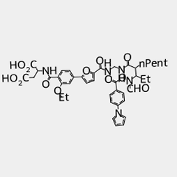 CCCCCC(C(=O)NCNC(=O)c1ccc(-c2ccc(C(=O)NC(CC(=O)O)C(=O)O)c(OCC)c2)o1)C(CC)N(C=O)OC(=O)c1ccc(-n2cccc2)cc1